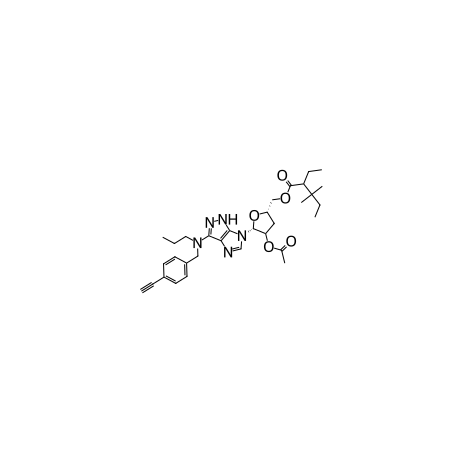 C#Cc1ccc(CN(CCC)c2n[nH]c3c2ncn3[C@@H]2O[C@H](COC(=O)C(CC)C(C)(C)CC)CC2OC(C)=O)cc1